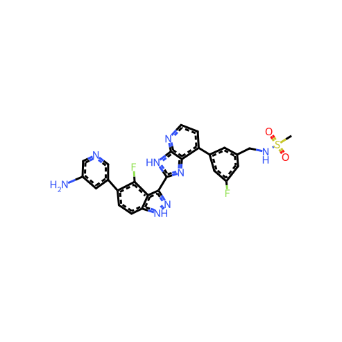 CS(=O)(=O)NCc1cc(F)cc(-c2ccnc3[nH]c(-c4n[nH]c5ccc(-c6cncc(N)c6)c(F)c45)nc23)c1